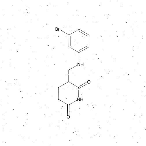 O=C1CCC(CNc2cccc(Br)c2)C(=O)N1